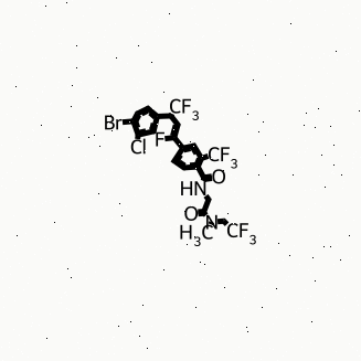 CN(CC(F)(F)F)C(=O)CNC(=O)c1ccc(C(F)=CC(c2ccc(Br)c(Cl)c2)C(F)(F)F)cc1C(F)(F)F